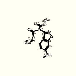 CBc1ccc2c(N(C(=O)OC(C)(C)C)C(=O)OC(C)(C)C)noc2c1